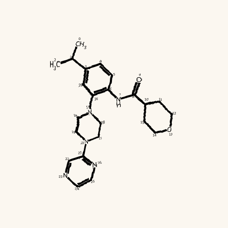 CC(C)c1ccc(NC(=O)C2CCOCC2)c(N2CCN(c3cnccn3)CC2)c1